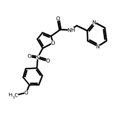 COc1ccc(S(=O)(=O)c2ccc(C(=O)NCc3cnccn3)o2)cc1